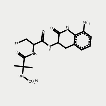 CC(C)CC(NC(=O)C(C)(C)NC(=O)O)C(=O)NC1Cc2cccc(N)c2NC1=O